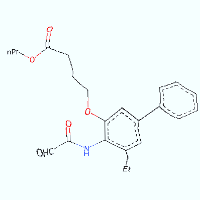 CCCOC(=O)CCCOc1cc(-c2ccccc2)cc(CC)c1NC(=O)C=O